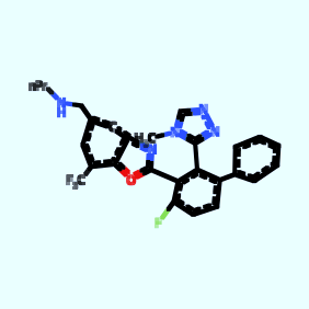 CCCNCc1cc(C(F)(F)F)c2oc(-c3c(F)ccc(-c4ccccc4)c3-c3nncn3C)nc2c1